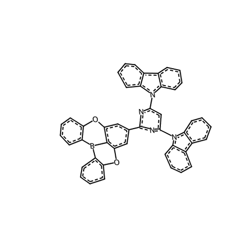 c1ccc2c(c1)Oc1cc(-c3nc(-n4c5ccccc5c5ccccc54)cc(-n4c5ccccc5c5ccccc54)n3)cc3c1B2c1ccccc1O3